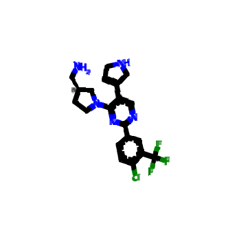 NC[C@@H]1CCN(c2nc(-c3ccc(Cl)c(C(F)(F)F)c3)ncc2C2=CCNC2)C1